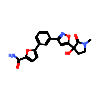 CN1CCC(O)(c2cc(-c3cccc(-c4ccc(C(N)=O)o4)c3)no2)C1=O